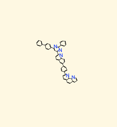 c1ccc(-c2ccc(-c3cc(-c4ccc5cc(-c6ccc(-c7ccc8ccc9cccnc9c8n7)cc6)ccc5n4)nc(-c4ccccc4)n3)cc2)cc1